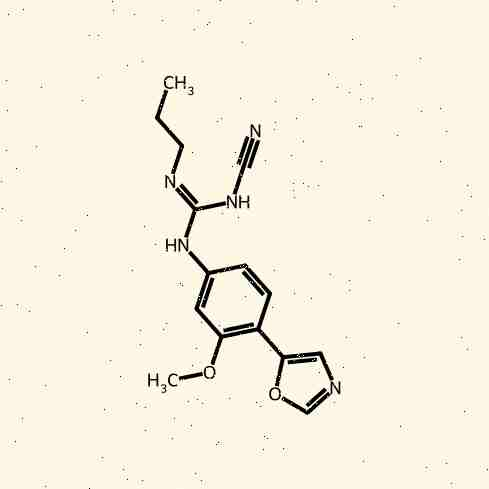 CCC/N=C(\NC#N)Nc1ccc(-c2cnco2)c(OC)c1